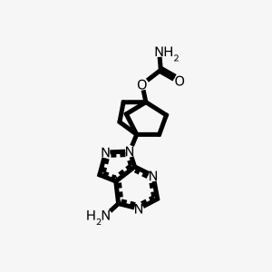 NC(=O)OC12CCC(n3ncc4c(N)ncnc43)(CC1)C2